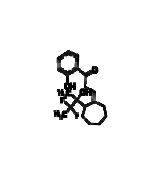 CC(F)(F)C(C)(O)C1CCCCC/C1=C/CC(=O)c1ccccc1O